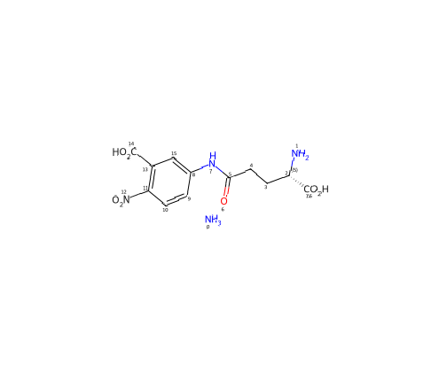 N.N[C@@H](CCC(=O)Nc1ccc([N+](=O)[O-])c(C(=O)O)c1)C(=O)O